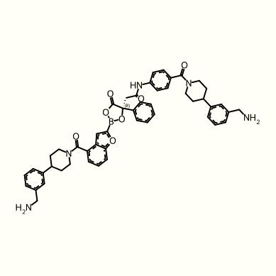 NCc1cccc(C2CCN(C(=O)c3ccc(NC(=O)C[C@]4(c5ccccc5)OB(c5cc6c(C(=O)N7CCC(c8cccc(CN)c8)CC7)cccc6o5)OC4=O)cc3)CC2)c1